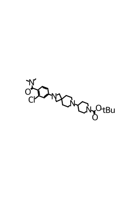 CN(C)C(=O)c1ccc(N2CC3(CCN(C4CCN(C(=O)OC(C)(C)C)CC4)CC3)C2)cc1Cl